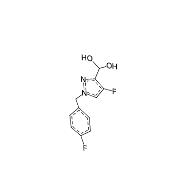 OC(O)c1nn(Cc2ccc(F)cc2)cc1F